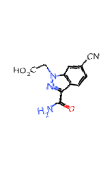 N#Cc1ccc2c(C(N)=O)nn(CC(=O)O)c2c1